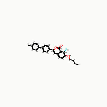 CCCCOc1ccc2cc(-c3ccc(-c4ccc(C)cc4)cc3)oc(=O)c2c1F